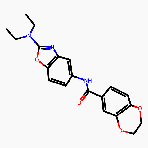 CCN(CC)c1nc2cc(NC(=O)c3ccc4c(c3)OCCO4)ccc2o1